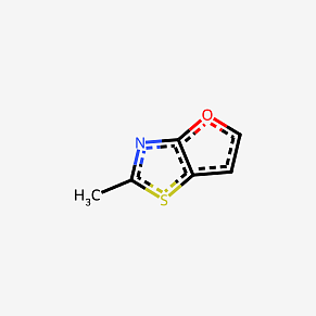 Cc1nc2occc2s1